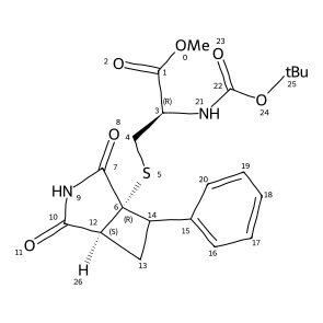 COC(=O)[C@H](CS[C@@]12C(=O)NC(=O)[C@@H]1CC2c1ccccc1)NC(=O)OC(C)(C)C